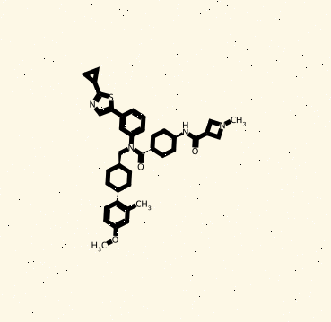 COc1ccc([C@H]2CC[C@H](CN(c3cccc(-c4cnc(C5CC5)s4)c3)C(=O)[C@H]3CC[C@H](NC(=O)C4CN(C)C4)CC3)CC2)c(C)c1